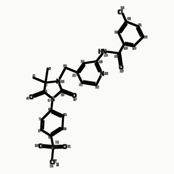 CC1(C)C(=O)N(c2ccc(S(=O)(=O)C(F)(F)F)cc2)C(=O)N1Cc1ccnc(NC(=O)c2cccc(Cl)c2)c1